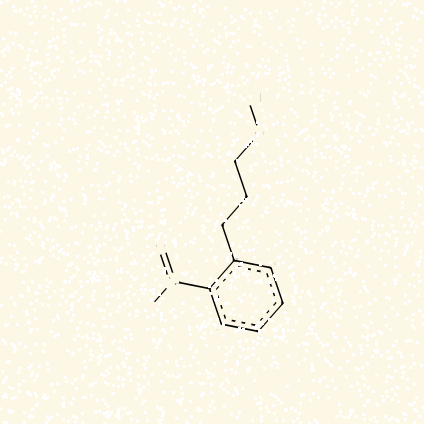 COCCCc1ccccc1[N+](=O)[O-]